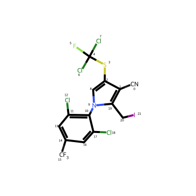 N#Cc1c(SC(F)(Cl)Cl)cn(-c2c(Cl)cc(C(F)(F)F)cc2Cl)c1CI